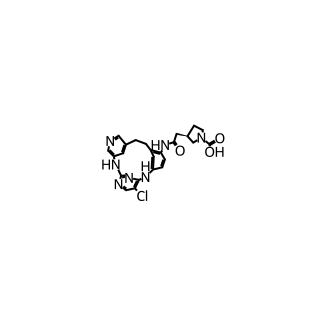 O=C(C[C@H]1CCN(C(=O)O)C1)Nc1ccc2cc1CCc1cncc(c1)Nc1ncc(Cl)c(n1)N2